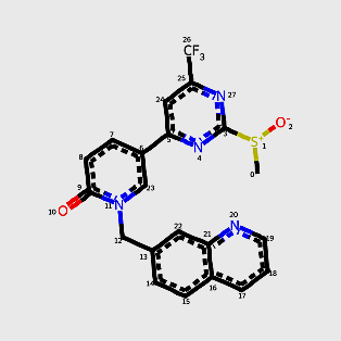 C[S+]([O-])c1nc(-c2ccc(=O)n(Cc3ccc4cccnc4c3)c2)cc(C(F)(F)F)n1